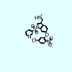 CNCc1cn(S(=O)(=O)c2cccnc2)c2cc(Oc3cc(Cl)ccc3[N+](=O)[O-])ccc12